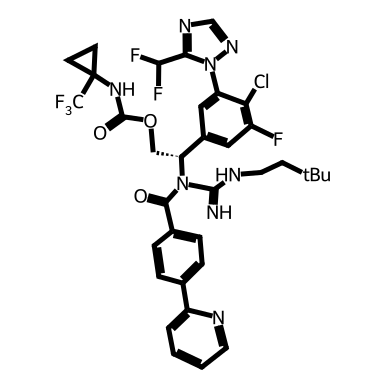 CC(C)(C)CCNC(=N)N(C(=O)c1ccc(-c2ccccn2)cc1)[C@H](COC(=O)NC1(C(F)(F)F)CC1)c1cc(F)c(Cl)c(-n2ncnc2C(F)F)c1